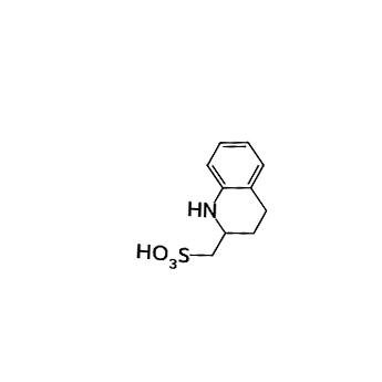 O=S(=O)(O)CC1CCc2ccccc2N1